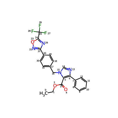 CCOC(=O)c1c(-c2ccccc2)ncn1Cc1ccc(-c2noc(C(F)(F)F)n2)cc1